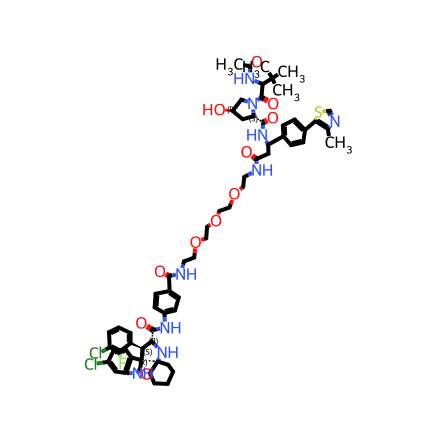 CC(=O)NC(C(=O)N1C[C@H](O)C[C@H]1C(=O)NC(CC(=O)NCCOCCOCCOCCNC(=O)c1ccc(NC(=O)[C@@H]2NC3(CCCCC3)[C@@]3(C(=O)Nc4cc(Cl)ccc43)[C@H]2c2cccc(Cl)c2F)cc1)c1ccc(-c2scnc2C)cc1)C(C)(C)C